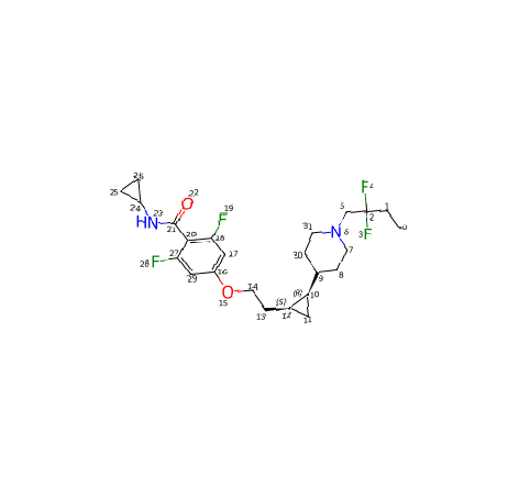 CCC(F)(F)CN1CCC([C@H]2C[C@H]2CCOc2cc(F)c(C(=O)NC3CC3)c(F)c2)CC1